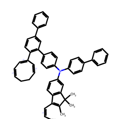 C/C=C\C1=C(C)C(C)(C)c2cc(N(c3ccc(-c4ccccc4)cc3)c3ccc(-c4cc(-c5ccccc5)ccc4C4=C/C=C\CC/C=C\4)cc3)ccc21